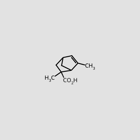 CC1=CC2CC1C(C)(C(=O)O)C2